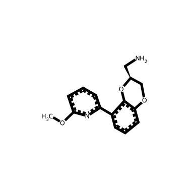 COc1cccc(-c2cccc3c2O[C@@H](CN)CO3)n1